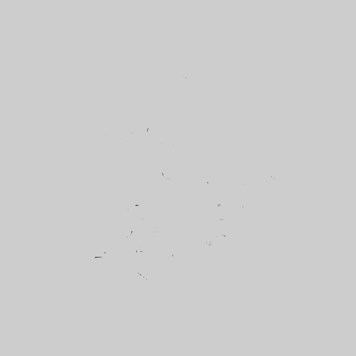 CC[C@H]1OC(=O)[C@H](C)[C@@H](OC2C[C@@](C)(OC)[C@@H](OC(=O)CCN(CC)CC)[C@H](C)O2)[C@H](C)[C@@H](O[C@@H]2O[C@H](C)C[C@H](N(C)C)[C@@H]2O)[C@](C)(OC)C[C@@H](C)C(=O)N[C@H](C)[C@@H](OCCC#N)[C@]1(C)O